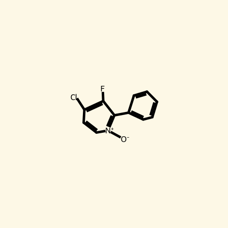 [O-][n+]1ccc(Cl)c(F)c1-c1ccccc1